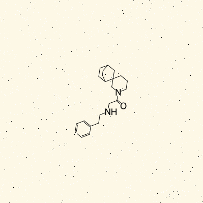 O=C(CNCCc1ccccc1)N1CCCC2(CC3CCC2CC3)C1